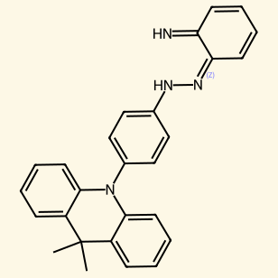 CC1(C)c2ccccc2N(c2ccc(N/N=C3/C=CC=CC3=N)cc2)c2ccccc21